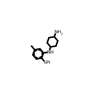 CCCc1ccc(C)cc1NC1CCC(N)CC1